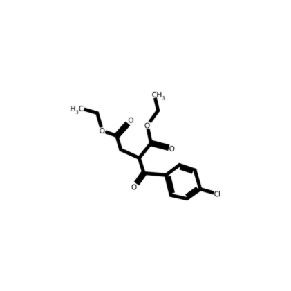 CCOC(=O)CC(C(=O)OCC)C(=O)c1ccc(Cl)cc1